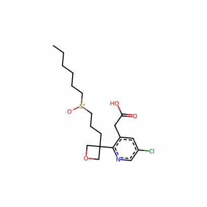 CCCCCC[S+]([O-])CCCC1(c2ncc(Cl)cc2CC(=O)O)COC1